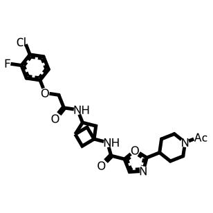 CC(=O)N1CCC(c2ncc(C(=O)NC34CC(C3)C(NC(=O)COc3ccc(Cl)c(F)c3)C4)o2)CC1